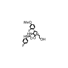 COc1ccc([C@@H]2CN(CCO)C(=O)[C@H]2NC(=O)Nc2ccc(F)cc2)c(F)c1